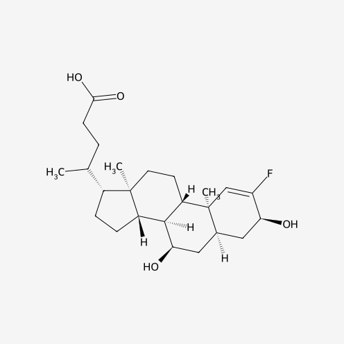 CC(CCC(=O)O)[C@H]1CC[C@H]2[C@@H]3[C@H](O)C[C@@H]4C[C@H](O)C(F)=C[C@]4(C)[C@H]3CC[C@]12C